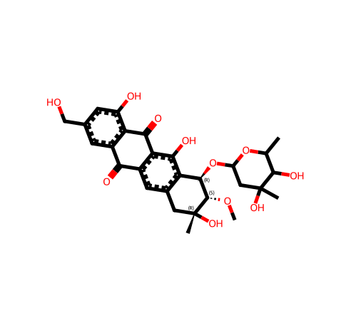 CO[C@H]1[C@H](OC2CC(C)(O)C(O)C(C)O2)c2c(cc3c(c2O)C(=O)c2c(O)cc(CO)cc2C3=O)C[C@@]1(C)O